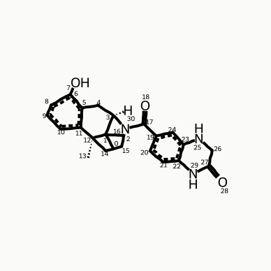 CC1(C)[C@H]2Cc3c(O)cccc3[C@]1(C)CCN2C(=O)c1ccc2c(c1)NCC(=O)N2